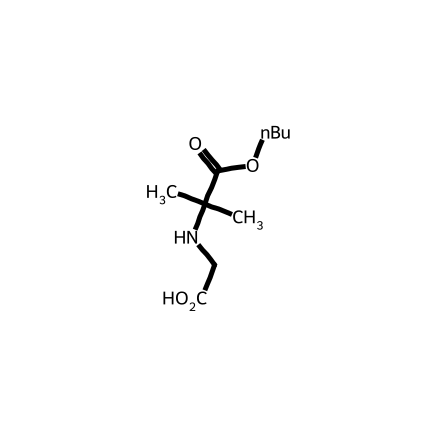 CCCCOC(=O)C(C)(C)NCC(=O)O